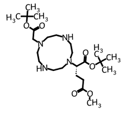 COC(=O)CC[C@@H](C(=O)OC(C)(C)C)N1CCNCCN(CC(=O)OC(C)(C)C)CCNCC1